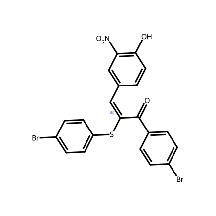 O=C(/C(=C\c1ccc(O)c([N+](=O)[O-])c1)Sc1ccc(Br)cc1)c1ccc(Br)cc1